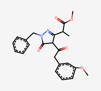 COC(=O)C(C)C1=NN(Cc2ccccc2)C(=O)C1C(=O)Cc1cccc(OC)c1